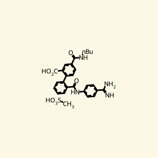 CCCCNC(=O)c1ccc(-c2ccccc2C(=O)Nc2ccc(C(=N)N)cc2)c(C(=O)O)c1.CS(=O)(=O)O